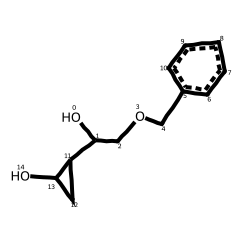 OC(COCc1ccccc1)C1CC1O